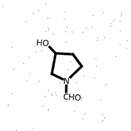 O=[C]N1CCC(O)C1